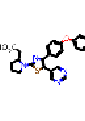 O=C(O)CC1CCCN1c1nc(-c2ccc(Oc3ccccc3)cc2)c(-c2cncnc2)s1